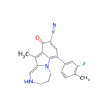 Cc1ccc(C2=c3c(c(C)c4n3CCCNC=4)C(=O)C(C#N)=C2)cc1F